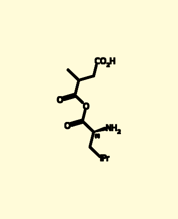 CC(C)C[C@H](N)C(=O)OC(=O)C(C)CC(=O)O